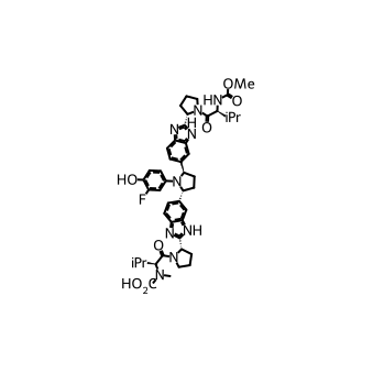 COC(=O)N[C@H](C(=O)N1CCC[C@H]1c1nc2ccc([C@H]3CC[C@H](c4ccc5nc([C@@H]6CCCN6C(=O)[C@H](C(C)C)N(C)C(=O)O)[nH]c5c4)N3c3ccc(O)c(F)c3)cc2[nH]1)C(C)C